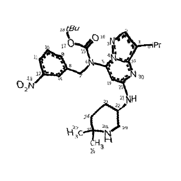 CC(C)c1cnn2c(N(Cc3cccc([N+](=O)[O-])c3)C(=O)OC(C)(C)C)cc(N[C@@H]3CCC(C)(C)NC3)nc12